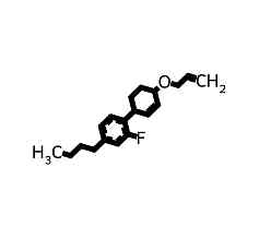 C=CCOC1C=CC(c2ccc(CCCC)cc2F)CC1